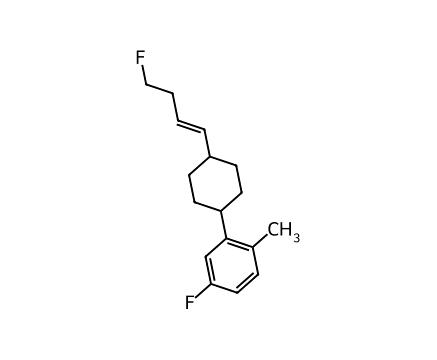 Cc1ccc(F)cc1C1CCC(/C=C/CCF)CC1